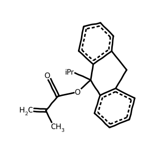 C=C(C)C(=O)OC1(C(C)C)c2ccccc2Cc2ccccc21